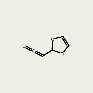 O=C=CC1O[C]=CO1